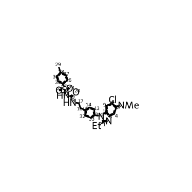 CCc1nc2cc(NC)c(Cl)cc2n1-c1ccc(CCNC(=O)NS(=O)(=O)c2ccc(C)cc2)cc1